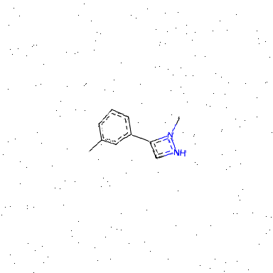 Cc1cccc(-c2c[nH]n2C)c1